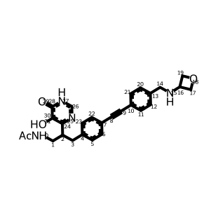 CC(=O)NCC(Cc1ccc(C#Cc2ccc(CNC3COC3)cc2)cc1)c1nc[nH]c(=O)c1O